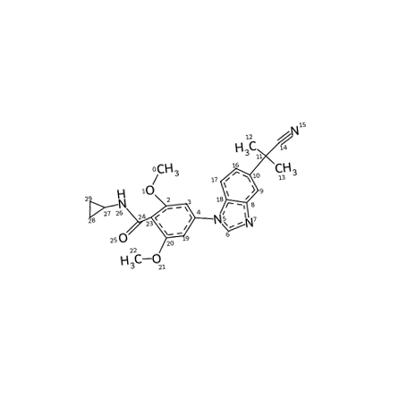 COc1cc(-n2cnc3cc(C(C)(C)C#N)ccc32)cc(OC)c1C(=O)NC1CC1